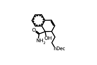 CCCCCCCCCCCCC1C=Cc2ccccc2C1(O)C(N)=O